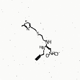 C#CCNC(=C[N+](=O)[O-])NCCSCc1csc(C)n1